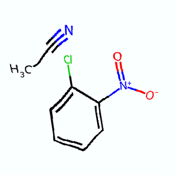 CC#N.O=[N+]([O-])c1ccccc1Cl